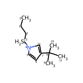 CCC[SiH2]n1ccc(C(C)(C)C)c1